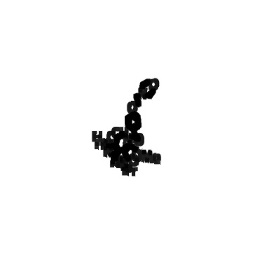 COCC1=C(C(=O)NC(C)C)c2c(C(F)(F)F)n[nH]c2C(C)(C)CN1C(=O)c1ccc(OCCN2CCOCC2)cc1